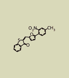 Cc1ccc(-c2ccc(C=C3Sc4ccccc4C3=O)o2)c([N+](=O)[O-])c1